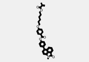 C=C(C)C(=O)OCCCCCCOC1=CCC(C(=O)Oc2ccc(-c3ccc4c5c(cccc35)C(=O)N4C)cc2)C=C1